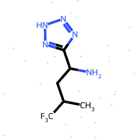 CC(CC(N)c1nn[nH]n1)C(F)(F)F